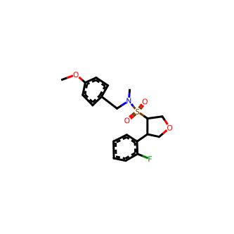 COc1ccc(CN(C)S(=O)(=O)C2COCC2c2ccccc2F)cc1